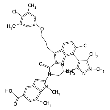 Cc1cc(OCCCc2c3n(c4c(-c5c(C)nn(C)c5C)c(Cl)ccc24)[C@H](C)CN(c2cc4cc(C(=O)O)cc(C)c4n2C)C3=O)cc(C)c1Cl